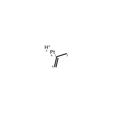 C=CC.[H+].[Pt]